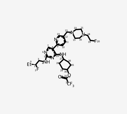 CC[C@H](F)CNc1ncc(-c2ccc(CN3CCN(CCF)CC3)cn2)c(NC2CCC(OC(=O)C(F)(F)F)CC2)n1